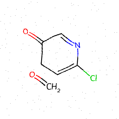 C=O.O=C1C=NC(Cl)=CC1